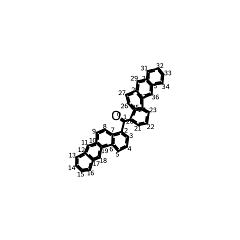 O=C(c1cccc2c1ccc1cc3ccccc3cc12)c1cccc2c1ccc1cc3ccccc3cc12